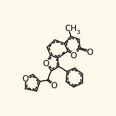 Cc1cc(=O)oc2c1ccc1oc(C(=O)c3ccoc3)c(-c3ccccc3)c12